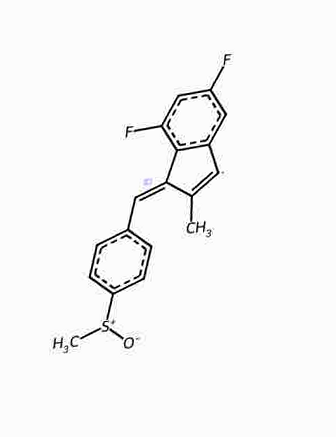 CC1=[C]c2cc(F)cc(F)c2/C1=C/c1ccc([S+](C)[O-])cc1